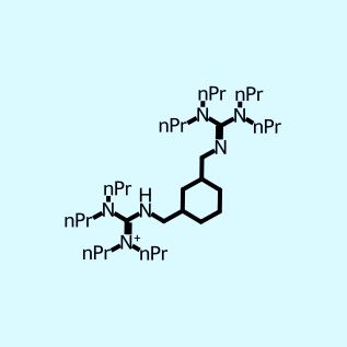 CCCN(CCC)C(=NCC1CCCC(CNC(N(CCC)CCC)=[N+](CCC)CCC)C1)N(CCC)CCC